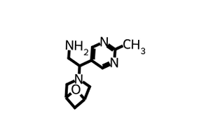 Cc1ncc(C(CN)N2CC3CC(C2)O3)cn1